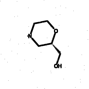 OC[C@@H]1C[N]CCO1